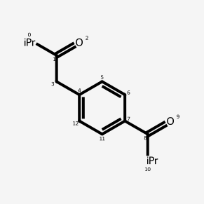 CC(C)C(=O)Cc1ccc(C(=O)C(C)C)cc1